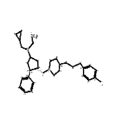 O=C(O)CN(CC1CC1)C1C[C@H](CN2CCC(CCCc3ccc(F)cc3)CC2)[C@@H](c2ccccc2)C1